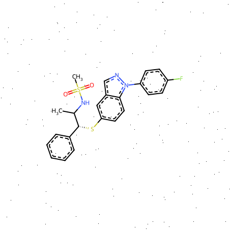 CC(NS(C)(=O)=O)[C@H](Sc1ccc2c(cnn2-c2ccc(F)cc2)c1)c1ccccc1